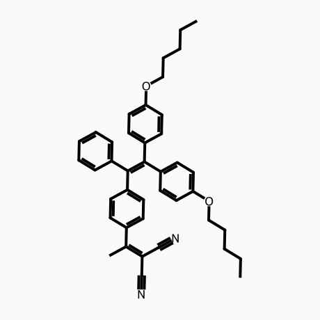 CCCCCOc1ccc(C(=C(c2ccccc2)c2ccc(C(C)=C(C#N)C#N)cc2)c2ccc(OCCCCC)cc2)cc1